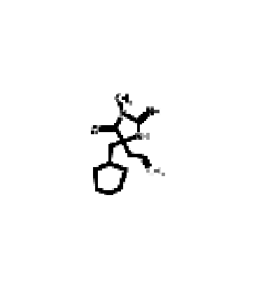 C=CCC1(CC2CCCCC2)NC(=N)N(C)C1=O